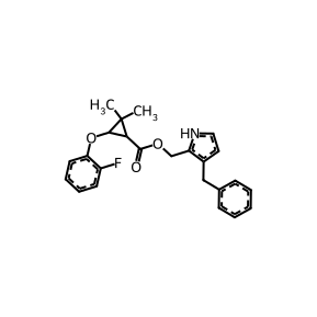 CC1(C)C(Oc2ccccc2F)C1C(=O)OCc1[nH]ccc1Cc1ccccc1